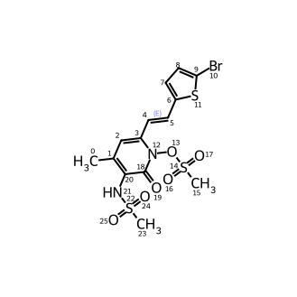 Cc1cc(/C=C/c2ccc(Br)s2)n(OS(C)(=O)=O)c(=O)c1NS(C)(=O)=O